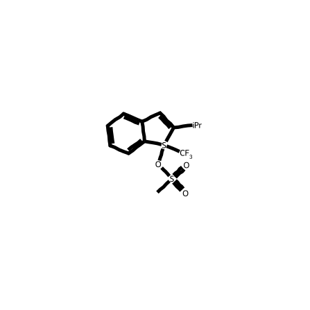 CC(C)C1=Cc2ccccc2S1(OS(C)(=O)=O)C(F)(F)F